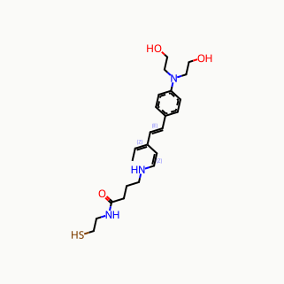 C/C=C(\C=C/NCCCC(=O)NCCS)/C=C/c1ccc(N(CCO)CCO)cc1